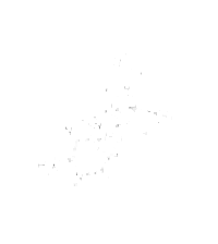 C[C@@]1(O)[C@H](O)[C@@H](CO)O[C@H]1n1cnc2c(N)ncnc21